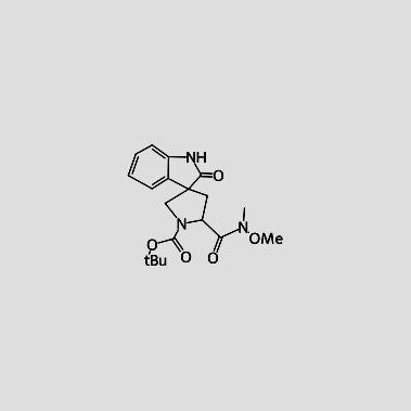 CON(C)C(=O)C1CC2(CN1C(=O)OC(C)(C)C)C(=O)Nc1ccccc12